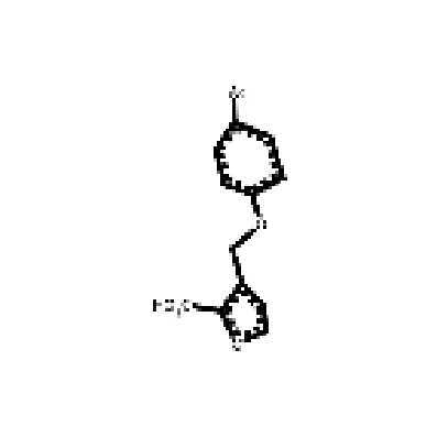 CC(=O)c1ccc(OCc2ccoc2C(=O)O)cc1